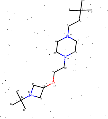 CC(C)(C)CCN1CCN(CCOC2CN(C(C)(C)C)C2)CC1